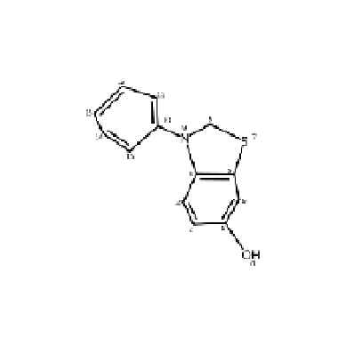 Oc1ccc2c(c1)SCN2c1ccccc1